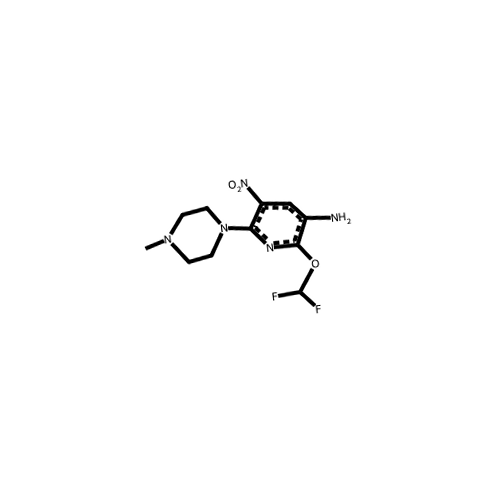 CN1CCN(c2nc(OC(F)F)c(N)cc2[N+](=O)[O-])CC1